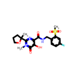 Cn1c(C2(C)CCCO2)nc(C(=O)NCc2ccc(F)cc2S(C)(=O)=O)c(O)c1=O